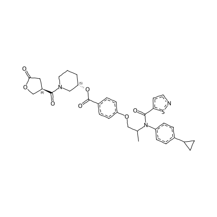 CC(COc1ccc(C(=O)O[C@H]2CCCN(C(=O)[C@H]3COC(=O)C3)C2)cc1)N(C(=O)c1ccns1)c1ccc(C2CC2)cc1